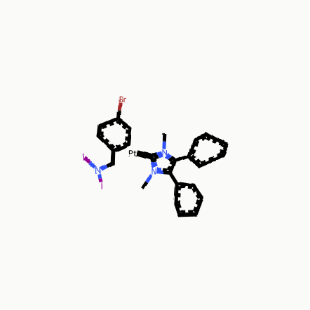 Brc1ccc(CN(I)I)cc1.Cn1c(-c2ccccc2)c(-c2ccccc2)n(C)[c]1=[Pt]